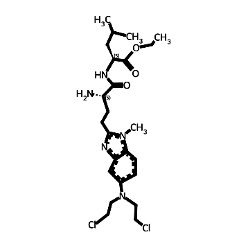 CCOC(=O)[C@H](CC(C)C)NC(=O)[C@@H](N)CCc1nc2cc(N(CCCl)CCCl)ccc2n1C